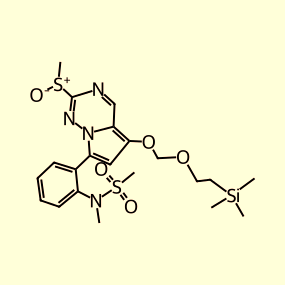 CN(c1ccccc1-c1cc(OCOCC[Si](C)(C)C)c2cnc([S+](C)[O-])nn12)S(C)(=O)=O